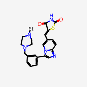 CCN1CCN(Cc2cccc(-c3cnc4ccc(/C=C5\SC(=O)NC5=O)cn34)c2)CC1